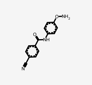 N#Cc1ccc(C(=O)Nc2ccc(ON)cc2)cc1